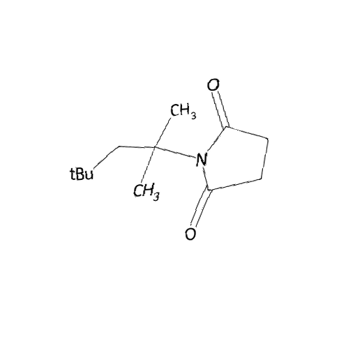 CC(C)(C)CC(C)(C)N1C(=O)CCC1=O